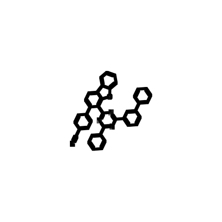 N#Cc1ccc(-c2ccc3c(oc4ccccc43)c2-c2nc(-c3ccccc3)nc(-c3cccc(-c4ccccc4)c3)n2)cc1